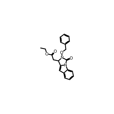 CCOC(=O)CC1c2cc3ccccc3n2C(=O)N1OCc1ccccc1